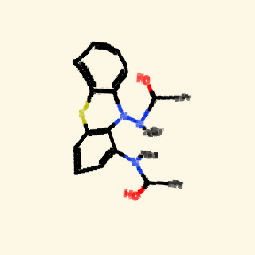 CCCCN(c1cccc2c1N(N(CCCC)C(O)CCC)c1ccccc1S2)C(O)CCC